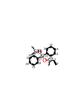 C=C[Si](C)(C)O[Si](O[SiH](C)C)(c1ccccc1)c1ccccc1